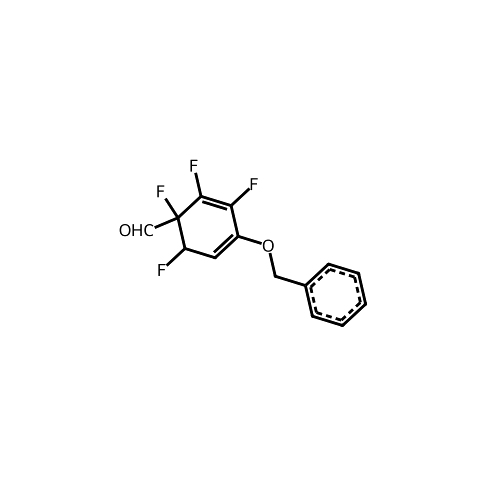 O=CC1(F)C(F)=C(F)C(OCc2ccccc2)=CC1F